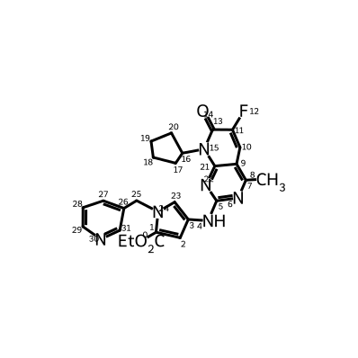 CCOC(=O)c1cc(Nc2nc(C)c3cc(F)c(=O)n(C4CCCC4)c3n2)cn1Cc1cccnc1